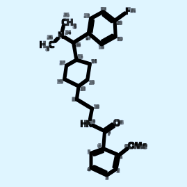 COc1ccccc1C(=O)NCCC1CCC(C(c2ccc(F)cc2)N(C)C)CC1